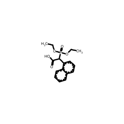 CCOP(=O)(OCC)C(C(=O)O)c1cccc2ccccc12